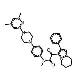 Cc1cc(C)nc(N2CCN(c3ccc(N(C)C(=O)C(=O)c4c(-c5ccccc5)cc5n4CCCC5)cc3)CC2)c1